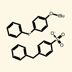 CC(C)(C)Oc1ccc([I+]c2ccccc2)cc1.O=S(=O)([O-])c1ccc(Cc2ccccc2)cc1